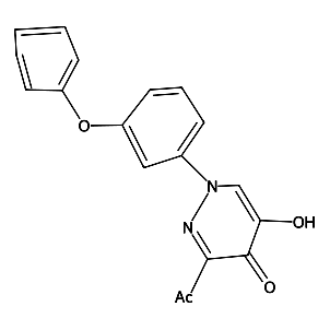 CC(=O)c1nn(-c2cccc(Oc3ccccc3)c2)cc(O)c1=O